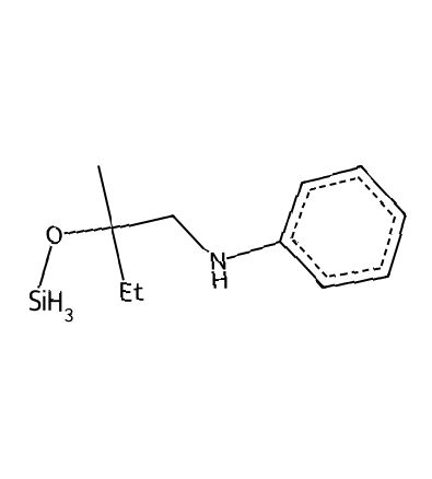 CCC(C)(CNc1ccccc1)O[SiH3]